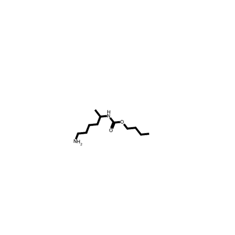 CCCCOC(=O)NC(C)CCCCN